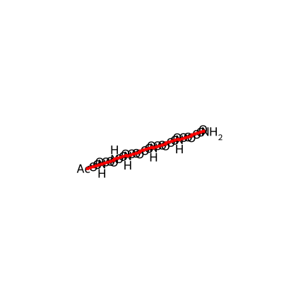 CC(=O)CCCOCCOCC(=O)NCCOCCOCC(=O)NCCOCCOCC(=O)NCCOCCOCC(=O)CCCOCCOCC(=O)NCCOCCOCC(=O)CCCOCCOCC(=O)NCCOCCOCC(=O)CCCOCCOCC(N)=O